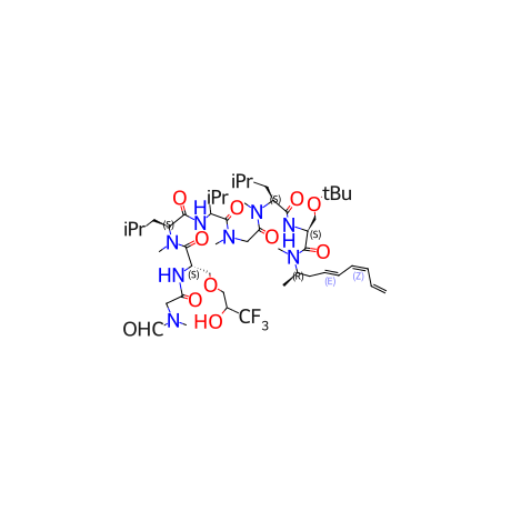 C=C/C=C\C=C\C[C@@H](C)N(C)C(=O)[C@H](COC(C)(C)C)NC(=O)[C@H](CC(C)C)N(C)C(=O)CN(C)C(=O)C(NC(=O)[C@H](CC(C)C)N(C)C(=O)[C@H](COCC(O)C(F)(F)F)NC(=O)CN(C)C=O)C(C)C